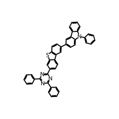 c1ccc(-c2nc(-c3ccccc3)nc(-c3ccc4c(c3)sc3ccc(-c5ccc6c(c5)c5ccccc5n6-c5ccccc5)cc34)n2)cc1